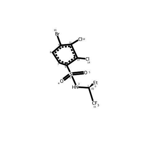 CC[C@H](NS(=O)(=O)c1ccc(Br)c(Cl)c1Cl)C(F)(F)F